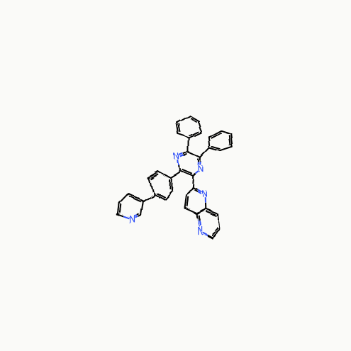 c1ccc(-c2nc(-c3ccc(-c4cccnc4)cc3)c(-c3ccc4ncccc4n3)nc2-c2ccccc2)cc1